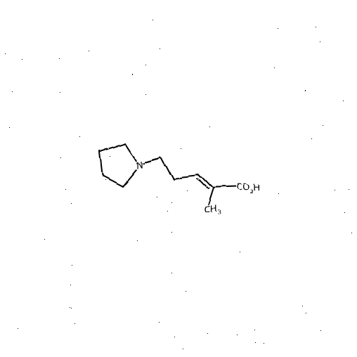 CC(=CCCN1CCCC1)C(=O)O